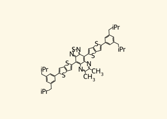 Cc1nc2c(-c3cc4sc(-c5cc(CC(C)C)cc(CC(C)C)c5)cc4s3)c3nsnc3c(-c3cc4sc(-c5cc(CC(C)C)cc(CC(C)C)c5)cc4s3)c2nc1C